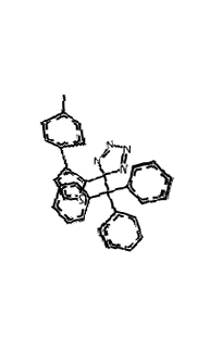 Cc1ccc(-c2ccsc2C2(C(c3ccccc3)(c3ccccc3)c3ccccc3)N=NN=N2)cc1